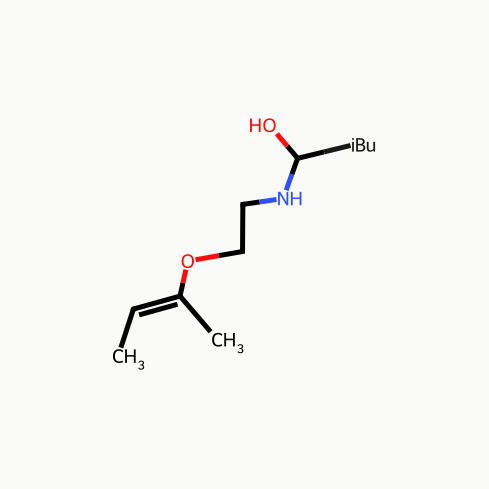 C/C=C(\C)OCCNC(O)C(C)CC